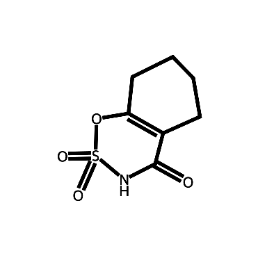 O=C1NS(=O)(=O)OC2=C1CCCC2